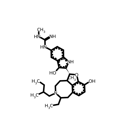 CCC(C)CN1CC[C@]2(C)c3c(ccc(O)c3O[C@H]2c2[nH]c3ccc(NC(=N)NC)cc3c2O)CC1CC